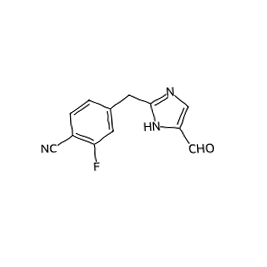 N#Cc1ccc(Cc2ncc(C=O)[nH]2)cc1F